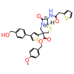 COc1ccc(COC(=O)C2(c3cc(-c4ccc(CO)cc4)cs3)CS[C@@H]3[C@H](NC(=O)Cc4cccs4)C(=O)N3C2)cc1